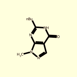 CCCCc1nc2c(cnn2C)c(=O)[nH]1